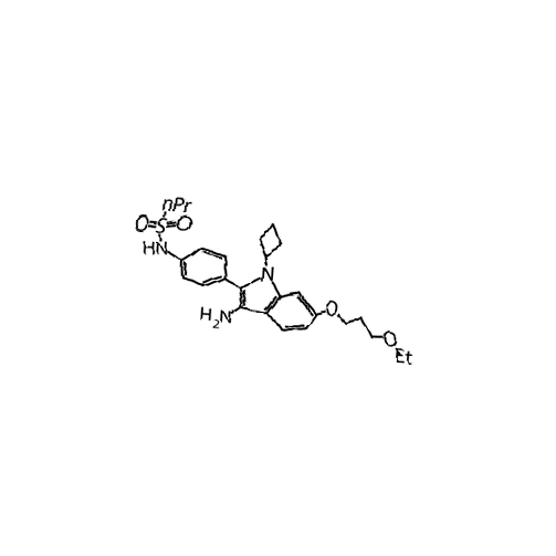 CCCS(=O)(=O)Nc1ccc(-c2c(N)c3ccc(OCCCOCC)cc3n2C2CCC2)cc1